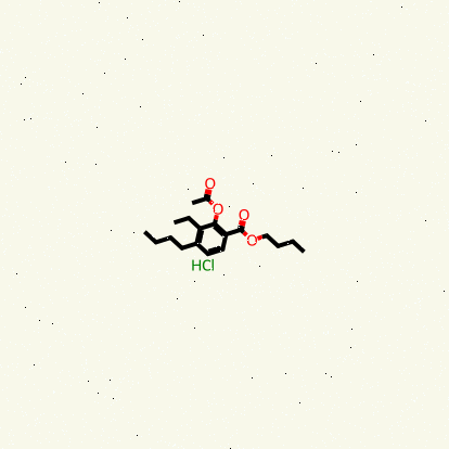 CCCCOC(=O)c1ccc(CCCC)c(CC)c1OC(C)=O.Cl